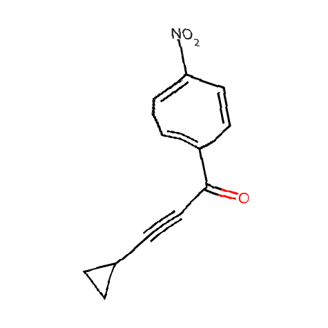 O=C(C#CC1CC1)c1ccc([N+](=O)[O-])cc1